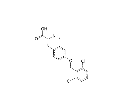 NC(Cc1ccc(OCc2c(Cl)cccc2Cl)cc1)C(=O)O